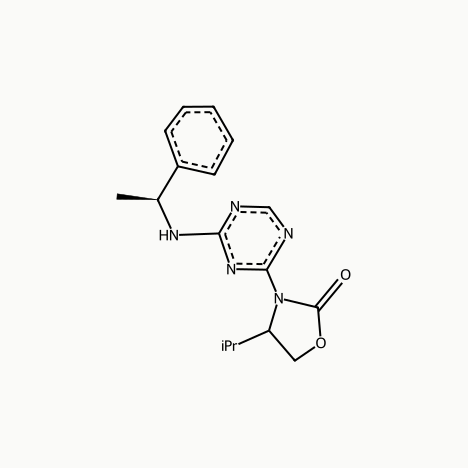 CC(C)C1COC(=O)N1c1ncnc(N[C@@H](C)c2ccccc2)n1